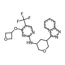 FC(F)(F)c1cnc(NC2COCC(c3nnc4ccccn34)C2)nc1OC1COC1